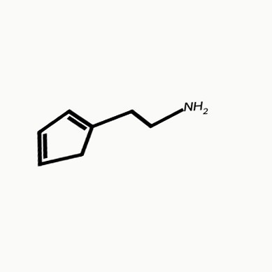 NCCC1=CC=CC1